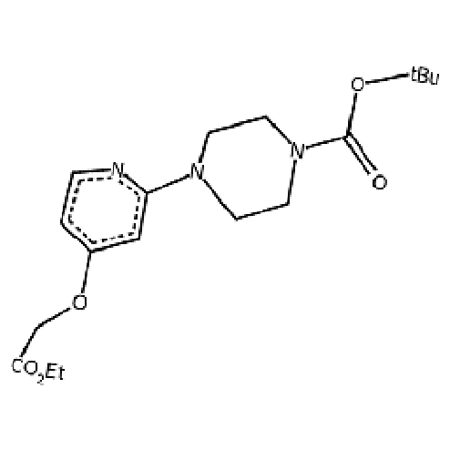 CCOC(=O)COc1ccnc(N2CCN(C(=O)OC(C)(C)C)CC2)c1